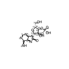 N=C1N=CN=C2C1=NC(=O)N2[C@@H]1O[C@H](CO)[C@@H](OP(=O)(O)O)[C@H]1O